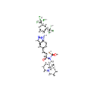 O=C1SC(=Cc2ccc3c(cnn3Cc3ccc(C(F)(F)F)cc3C(F)(F)F)c2)C(=O)N1CC1CCCN2CCCC[C@H]12